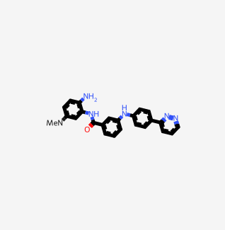 CNc1ccc(N)c(NC(=O)c2cccc(Nc3ccc(-c4cccnn4)cc3)c2)c1